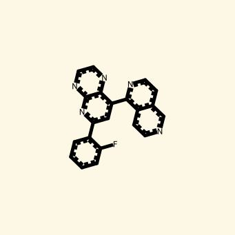 Fc1ccccc1-c1cc(-c2nccc3cnccc23)c2nccnc2n1